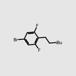 CCC(C)CCc1c(F)cc(Br)cc1F